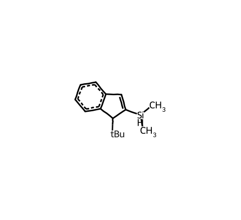 C[SiH](C)C1=Cc2ccccc2C1C(C)(C)C